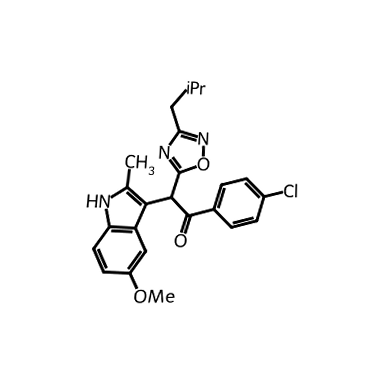 COc1ccc2[nH]c(C)c(C(C(=O)c3ccc(Cl)cc3)c3nc(CC(C)C)no3)c2c1